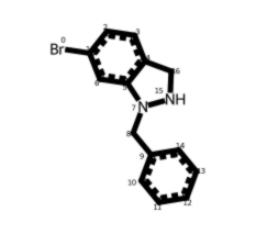 Brc1ccc2c(c1)N(Cc1ccccc1)NC2